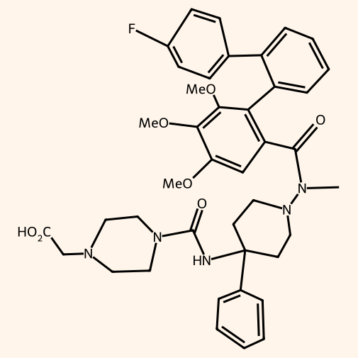 COc1cc(C(=O)N(C)N2CCC(NC(=O)N3CCN(CC(=O)O)CC3)(c3ccccc3)CC2)c(-c2ccccc2-c2ccc(F)cc2)c(OC)c1OC